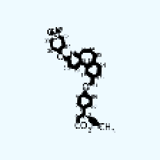 CC#C[C@@H](CC(=O)O)c1ccc(OCc2ccc3c(c2)-c2ccc(OC4CCS(=O)(=O)CC4)nc2CCC3)cc1